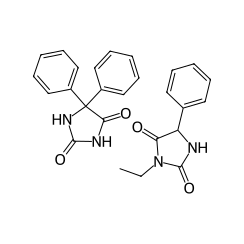 CCN1C(=O)NC(c2ccccc2)C1=O.O=C1NC(=O)C(c2ccccc2)(c2ccccc2)N1